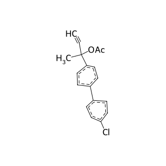 C#CC(C)(OC(C)=O)c1ccc(-c2ccc(Cl)cc2)cc1